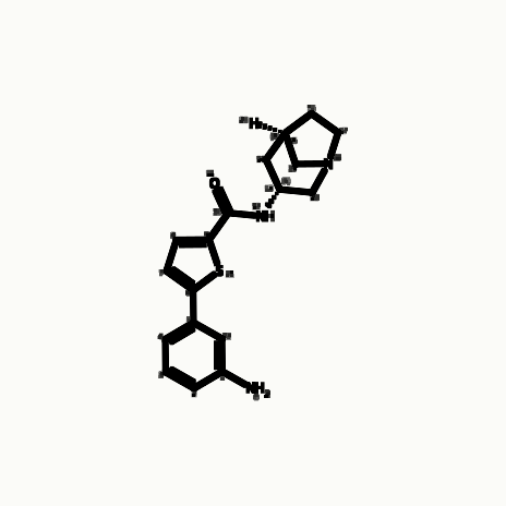 Nc1cccc(-c2ccc(C(=O)N[C@@H]3C[C@H]4CCN(C4)C3)s2)c1